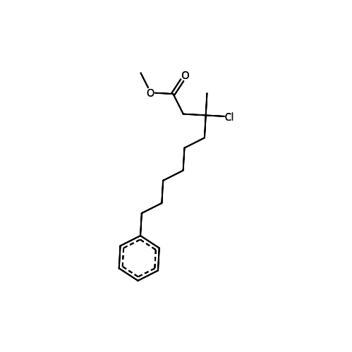 COC(=O)CC(C)(Cl)CCCCCCc1ccccc1